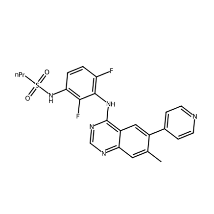 CCCS(=O)(=O)Nc1ccc(F)c(Nc2ncnc3cc(C)c(-c4ccncc4)cc23)c1F